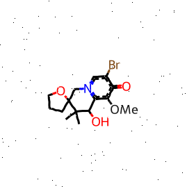 COc1c2n(cc(Br)c1=O)CC1(CCCO1)C(C)(C)C2O